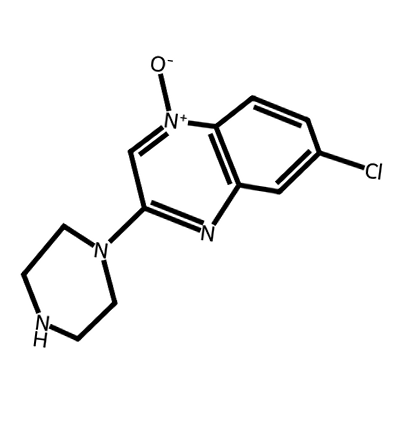 [O-][n+]1cc(N2CCNCC2)nc2cc(Cl)ccc21